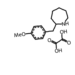 COc1ccc(CC2CCCCCN2)cc1.O=C(O)C(=O)O